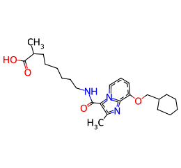 Cc1nc2c(OCC3CCCCC3)cccn2c1C(=O)NCCCCCCC(C)C(=O)O